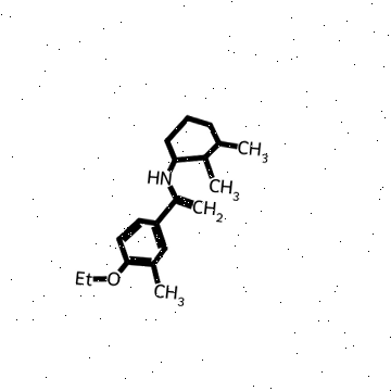 C=C(NC1CCCC(C)C1C)c1ccc(OCC)c(C)c1